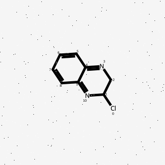 ClC1CN=c2ccccc2=N1